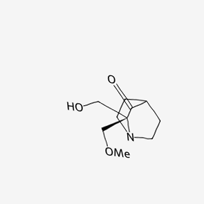 COC[C@@]1(CO)C(=O)C2CCN1CC2